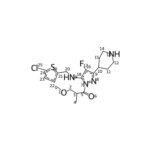 COCC(C)C(=O)n1nc(C2CCNCC2)c(F)c1NCc1ccc(Cl)s1